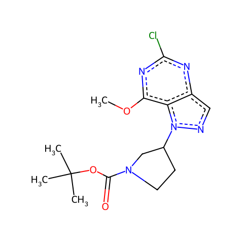 COc1nc(Cl)nc2cnn(C3CCN(C(=O)OC(C)(C)C)C3)c12